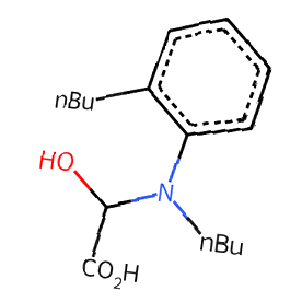 CCCCc1ccccc1N(CCCC)C(O)C(=O)O